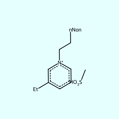 CCCCCCCCCCC[n+]1cccc(CC)c1.CS(=O)(=O)O